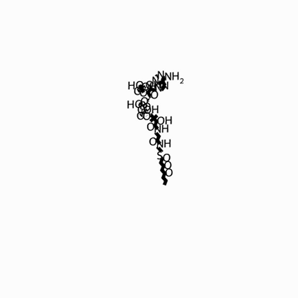 CCCC(=O)CC(=O)CC(=O)SCCNC(=O)CCNC(=O)[C@H](O)C(C)(C)COP(=O)(O)OP(=O)(O)OC[C@H]1O[C@@H](n2cnc3c(N)ncnc32)[C@H](O)[C@@H]1OP(=O)(O)O